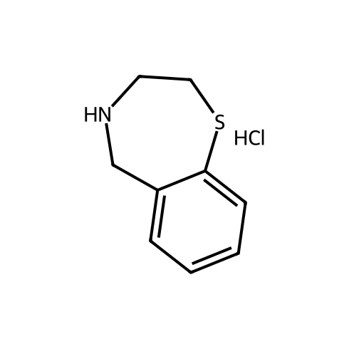 Cl.c1ccc2c(c1)CNCCS2